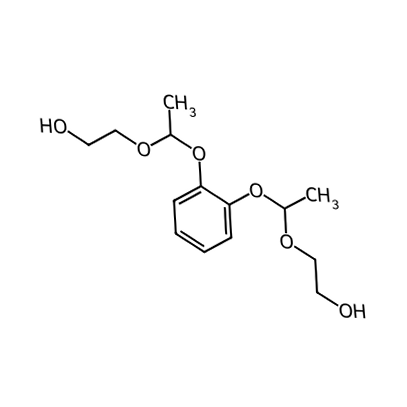 CC(OCCO)Oc1ccccc1OC(C)OCCO